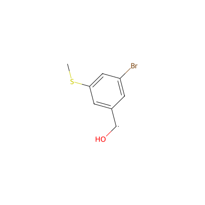 CSc1cc(Br)cc([CH]O)c1